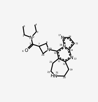 CCN(CC)C(=O)C1CN(c2c3c(nc4ccnn24)CCNCC3)C1